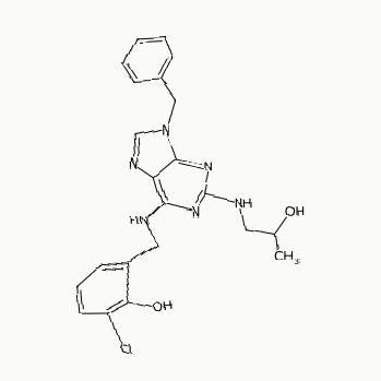 CC(O)CNc1nc(NCc2cccc(Cl)c2O)c2ncn(Cc3ccccc3)c2n1